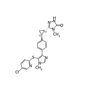 Cn1cnc(-c2ccc([C@H]3C[C@@H]3c3n[nH]c(=O)n3C)cc2)c1Sc1ccc(Cl)cn1